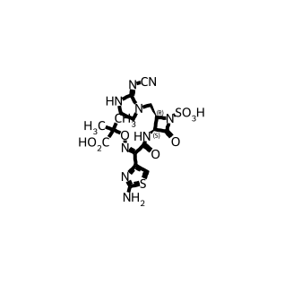 CC(C)(ON=C(C(=O)N[C@@H]1C(=O)N(S(=O)(=O)O)[C@@H]1CN1CCNC1=NC#N)c1csc(N)n1)C(=O)O